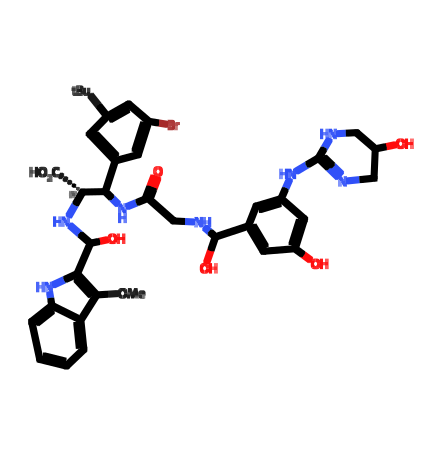 COc1c(C(O)N[C@H](C(=O)O)C(NC(=O)CNC(O)c2cc(O)cc(NC3=NCC(O)CN3)c2)c2cc(Br)cc(C(C)(C)C)c2)[nH]c2ccccc12